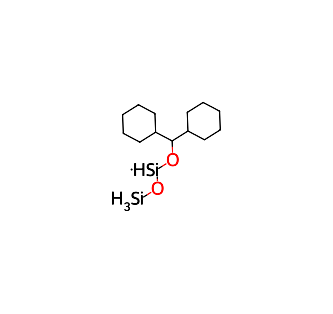 [SiH3]O[SiH]OC(C1CCCCC1)C1CCCCC1